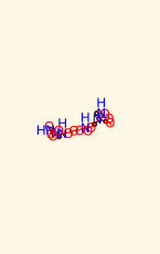 COc1ccc(-c2cc(-c3ccc(OCC(=O)NCCOCCOCCOCCNc4cccc5c4C(=O)N(C4CCC(=O)NC4=O)C5=O)cc3)nc3c2CC(=O)Nc2ccccc2-3)cc1OC